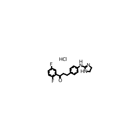 Cl.O=C(CCc1ccc(NC2=NCCN2)cc1)c1cc(F)ccc1F